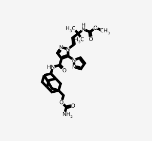 COC(=O)NC(C)(C)/C=C/n1ncc(C(=O)NC2C3CC4CC2CC(COC(N)=O)(C4)C3)c1-n1cccn1